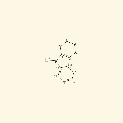 [Li][CH]1C2=C(CCCC2)c2ccccc21